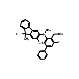 Cc1cc2c(cc1N(c1cc(-c3ccccc3)cc(F)c1CC(C)(C)C)C(C)(C)C)-c1ccccc1C2(C)C